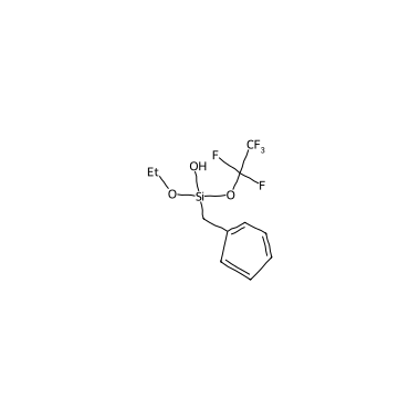 CCO[Si](O)(Cc1ccccc1)OC(F)(F)C(F)(F)F